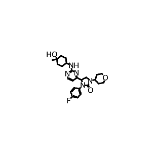 CC1(O)CCC(Nc2nccc(C3CN(C4CCOCC4)C(=O)N3c3ccc(F)cc3)n2)CC1